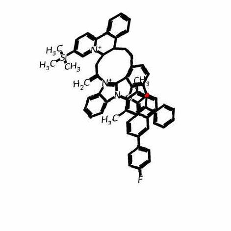 C=C1CC2C(CCc3ccc4c(oc5c6ccc(-c7ccc(F)cc7)cc6ccc45)c3-c3n(-c4c(C)cc(-c5ccccc5)cc4C)c4ccccc4[n+]31)c1ccccc1-c1ccc([Si](C)(C)C)c[n+]12